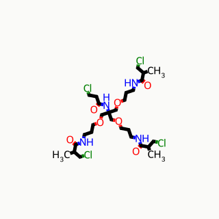 CC(CCl)C(=O)NCCCOCC(COCCCNC(=O)C(C)CCl)(COCCCNC(=O)C(C)CCl)NC(=O)CCCl